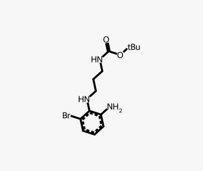 CC(C)(C)OC(=O)NCCCNc1c(N)cccc1Br